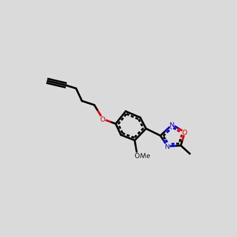 C#CCCCOc1ccc(-c2noc(C)n2)c(OC)c1